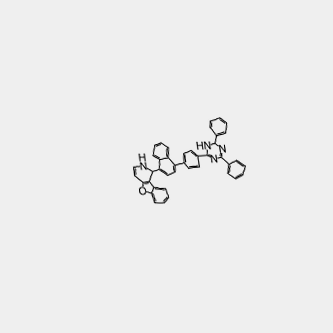 C1=Cc2oc3ccccc3c2C(c2ccc(-c3ccc(C4=NC(c5ccccc5)=NC(c5ccccc5)N4)cc3)c3ccccc23)N1